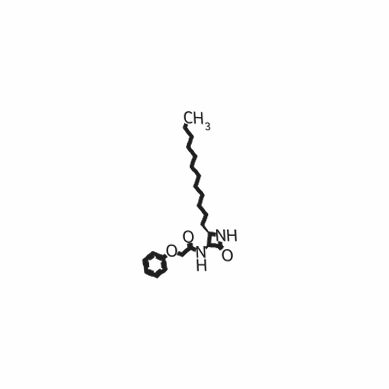 CCCCCCCCCCCC[C@H]1NC(=O)[C@H]1NC(=O)COc1ccccc1